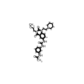 COCCn1c(=O)c2cc(NC(=O)Nc3cccc(NC(C)=O)c3)ccc2n(CCN2CCCCC2)c1=O